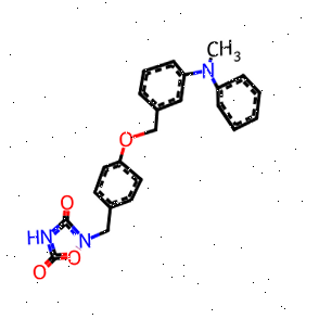 CN(c1ccccc1)c1cccc(COc2ccc(Cn3oc(=O)[nH]c3=O)cc2)c1